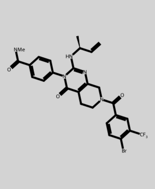 C=C[C@H](C)Nc1nc2c(c(=O)n1-c1ccc(C(=O)NC)cc1)CCN(C(=O)c1ccc(Br)c(C(F)(F)F)c1)C2